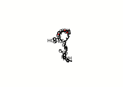 C#Cc1cccc(Nc2ncnc3cc(OCCOC)c(OCCN4CCN(C(=O)CCC[C@@H]5/C=C(\C)C[C@H](C)C[C@H](OC)[C@H]6O[C@@](O)(C(=O)C(=O)N7CCCC[C@H]7C(=O)O[C@H](/C(C)=C/[C@@H]7CC[C@@H](O)[C@H](OC)C7)[C@H](C)[C@@H](O)CC5=O)[C@H](C)C[C@@H]6OC)CC4)cc23)c1